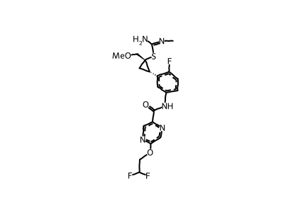 C/N=C(/N)S[C@@]1(COC)C[C@H]1c1cc(NC(=O)c2cnc(OCC(F)F)cn2)ccc1F